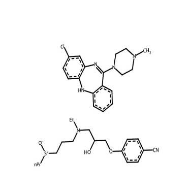 CCC[S+]([O-])CCCN(CC)CC(O)COc1ccc(C#N)cc1.CN1CCN(C2=Nc3cc(Cl)ccc3Nc3ccccc32)CC1